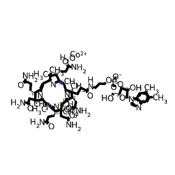 C/C1=C2/N=C(C=C3N=C(/C(C)=C4\[N-][C@@](C)([C@@H]5N=C1[C@](C)(CCC(=O)NCCCOP(=O)([O-])O[C@@H]1[C@@H](O)[C@H](n6cnc7cc(C)c(C)cc76)O[C@@H]1CO)[C@H]5CC(N)=O)[C@@](C)(CC(N)=O)[C@@H]4CCC(N)=O)[C@@](C)(CC(N)=O)[C@@H]3CCC(N)=O)C(C)(C)[C@@H]2CCC(N)=O.O.[Co+2]